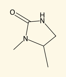 CC1CNC(=O)N1C